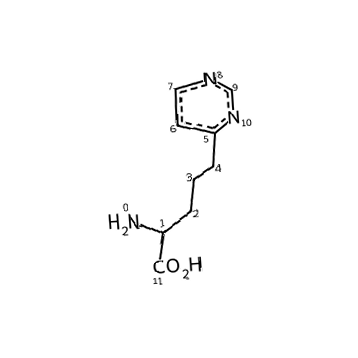 NC(CCCc1ccncn1)C(=O)O